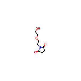 O=C1CCC(=O)N1CCOCCO